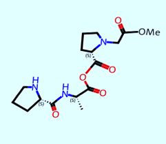 COC(=O)CN1CCC[C@H]1C(=O)OC(=O)[C@H](C)NC(=O)[C@@H]1CCCN1